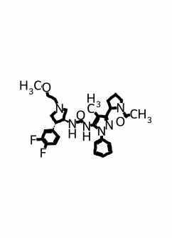 COCCN1C[C@@H](NC(=O)Nc2c(C)c(C3CCCN3C(C)=O)nn2-c2ccccc2)[C@H](c2ccc(F)c(F)c2)C1